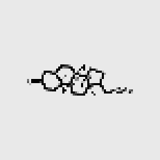 COCC1CC[C@H]2[C@@H]3CCC4CC(=O)CC[C@]4(C)[C@H]3CC[C@]12C